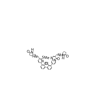 CSc1nc(-c2cccc(-c3cccc(-c4ccn5c(=O)c(CNC[C@@H]6CCC(=O)N6)cnc5c4)c3Cl)c2Cl)ccc1CNC[C@H]1CCC(=O)N1